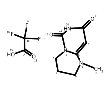 CN1CCCn2c1cc(=O)[nH]c2=O.O=C(O)C(F)(F)F